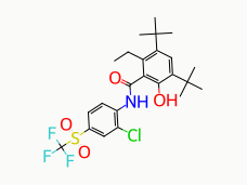 CCc1c(C(C)(C)C)cc(C(C)(C)C)c(O)c1C(=O)Nc1ccc(S(=O)(=O)C(F)(F)F)cc1Cl